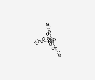 CC1CCC(COC(=O)CCCn2c(=O)n(CCCC(=O)OCC3CCC4OC4C3)c(=O)n(CCCC(=O)OCC3CCC4OC4C3)c2=O)CO1